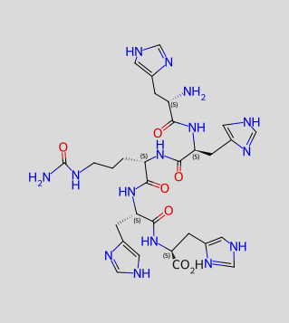 NC(=O)NCCC[C@H](NC(=O)[C@H](Cc1c[nH]cn1)NC(=O)[C@@H](N)Cc1c[nH]cn1)C(=O)N[C@@H](Cc1c[nH]cn1)C(=O)N[C@@H](Cc1c[nH]cn1)C(=O)O